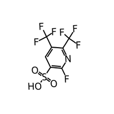 O=S(=O)(O)c1cc(C(F)(F)F)c(C(F)(F)F)nc1F